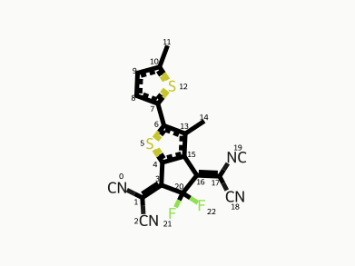 [C-]#[N+]/C(C#N)=C1\c2sc(-c3ccc(C)s3)c(C)c2/C(=C(/C#N)[N+]#[C-])C1(F)F